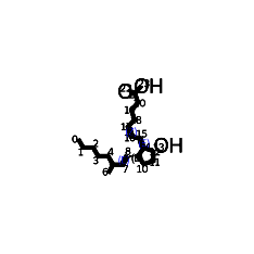 CCCCCC(C)/C=C/[C@H]1CCC(O)/C1=C/C=C\CCCC(=O)O